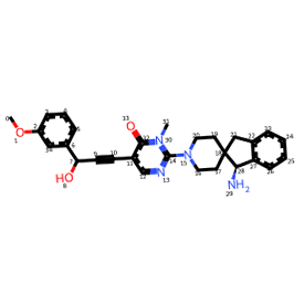 COc1cccc(C(O)C#Cc2cnc(N3CCC4(CC3)Cc3ccccc3[C@H]4N)n(C)c2=O)c1